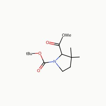 COC(=O)C1N(C(=O)OC(C)(C)C)CCC1(C)C